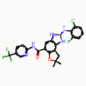 CC1(C)Cc2c3c(cc(C(=O)Nc4ccc(C(F)(F)F)cn4)c2O1)NC(Nc1c(F)cccc1Cl)N3